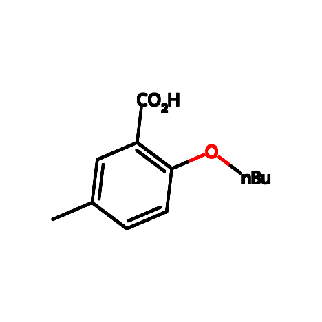 CCCCOc1ccc(C)cc1C(=O)O